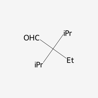 CCC(C=O)(C(C)C)C(C)C